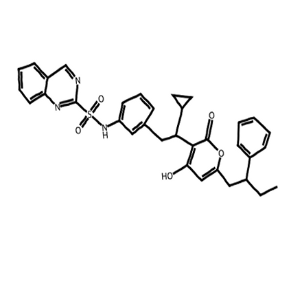 CCC(Cc1cc(O)c(C(Cc2cccc(NS(=O)(=O)c3ncc4ccccc4n3)c2)C2CC2)c(=O)o1)c1ccccc1